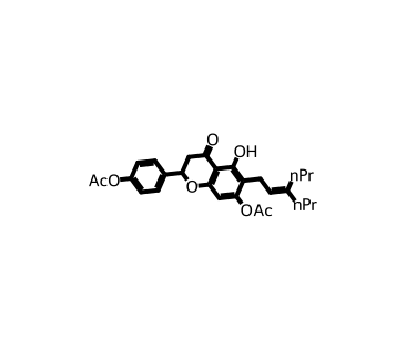 CCCC(=CCc1c(OC(C)=O)cc2c(c1O)C(=O)CC(c1ccc(OC(C)=O)cc1)O2)CCC